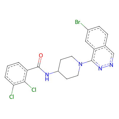 O=C(NC1CCN(c2nncc3ccc(Br)cc23)CC1)c1cccc(Cl)c1Cl